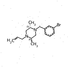 C=CCN1C[C@H](C)N([CH]c2cccc(Br)c2)C[C@H]1C